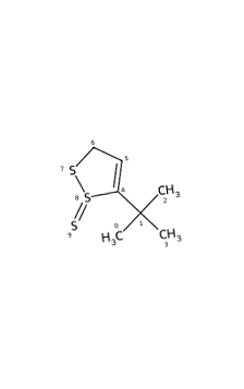 CC(C)(C)C1=CCSS1=S